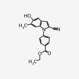 CCOC(=O)c1ccc(-n2c(C#N)cc3cc(O)c(C)cc32)cc1